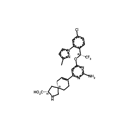 Cc1ccn(-c2cc(Cl)ccc2[C@@H](Oc2cc(C3=CC[C@]4(CC3)CN[C@H](C(=O)O)C4)nc(N)n2)C(F)(F)F)n1